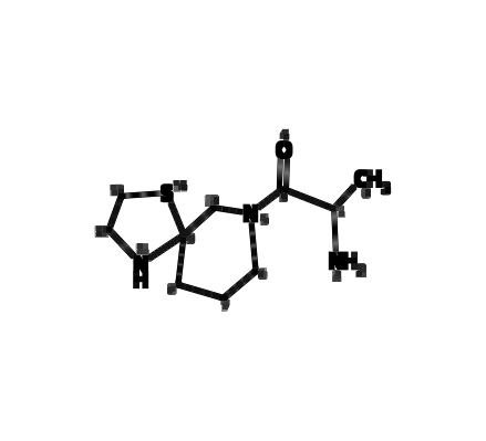 CC(N)C(=O)N1CCCC2(C1)NCCS2